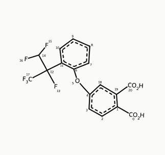 O=C(O)c1ccc(Oc2ccccc2C(F)(C(F)F)C(F)(F)F)cc1C(=O)O